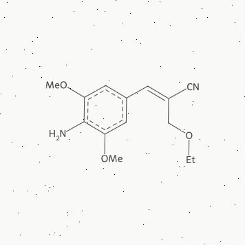 CCOCC(C#N)=Cc1cc(OC)c(N)c(OC)c1